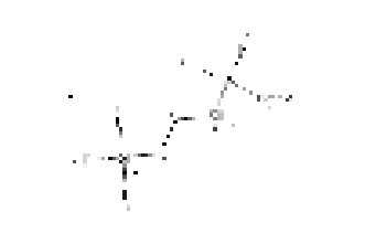 CCCCCCC(F)(F)[SiH2]CC[Si](F)(F)F